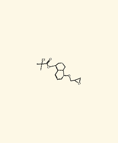 CCC(C)(C)C(=O)OC1CCCC2C(OCC3CO3)CCCC12